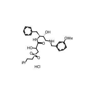 COc1cccc(CNC[C@@H](O)[C@H](Cc2ccccc2)NC(=O)C(O)CS(=O)(=O)CCC(C)C)c1.Cl